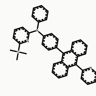 C[Si](C)(C)c1cccc(N(c2ccccc2)c2ccc(-c3c4ccccc4c(-c4ccccn4)c4ccccc34)cc2)n1